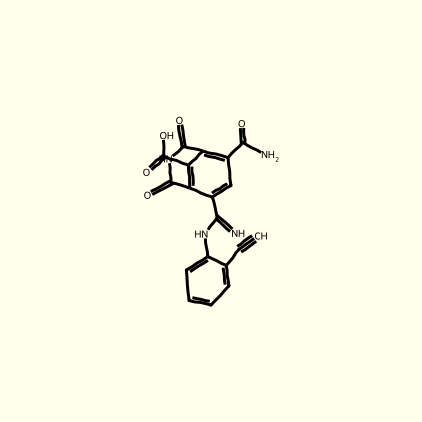 C#Cc1ccccc1NC(=N)c1cc(C(N)=O)c2c(C(=O)O)c1C(=O)NC2=O